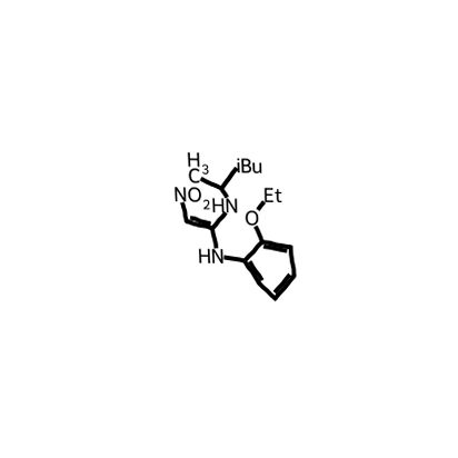 CCOc1ccccc1N/C(=C/[N+](=O)[O-])NC(C)C(C)CC